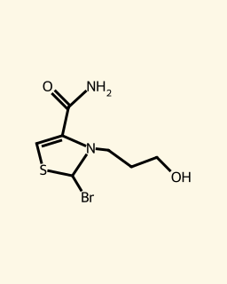 NC(=O)C1=CSC(Br)N1CCCO